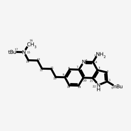 CCCCc1cc2c(N)nc3cc(CCCCCN(C)C(C)(C)C)ccc3c2[nH]1